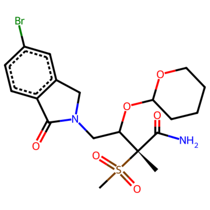 C[C@](C(N)=O)(C(CN1Cc2cc(Br)ccc2C1=O)OC1CCCCO1)S(C)(=O)=O